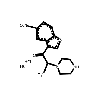 CC(C(=O)c1csc2ccc([N+](=O)[O-])cc12)N1CCNCC1.Cl.Cl